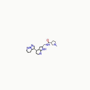 CN1CCC(C(=O)NCc2cc3c(-c4cnn5ncccc45)ccnc3[nH]2)C1